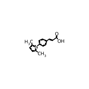 Cc1ccc(C)n1-c1ccc(C=CC(=O)O)cc1